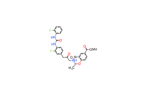 COC(=O)c1ccc(OC(C)NCC(=O)Cc2ccc(NC(=O)Nc3ccccc3F)c(F)c2)c([N+](=O)[O-])c1